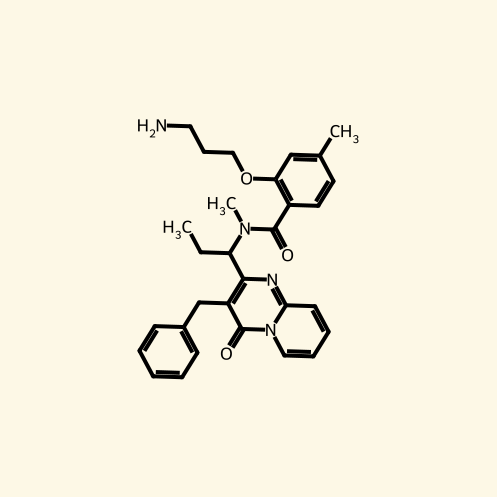 CCC(c1nc2ccccn2c(=O)c1Cc1ccccc1)N(C)C(=O)c1ccc(C)cc1OCCCN